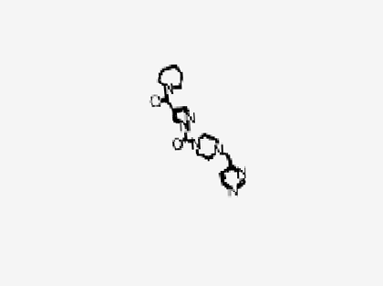 O=C(c1cnn(C(=O)N2CCN(Cc3ccncn3)CC2)c1)N1CCCCC1